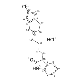 Cl.O=C1Nc2ccccc2C1CCCCN1CCc2sc(Cl)cc2C1